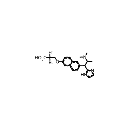 CCC(CC)(COc1ccc2cc(C(c3ncc[nH]3)C(C)N(C)C)ccc2c1)C(=O)O